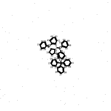 c1ccc(P(C[C@@H]2[C@@H](CCOC(c3ccccc3)(c3ccccc3)c3ccccc3)CC[C@@H]2P(c2ccccc2)c2ccccc2)c2ccccc2)cc1